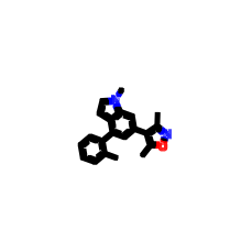 Cc1ccccc1-c1cc(-c2c(C)noc2C)cc2c1ccn2C